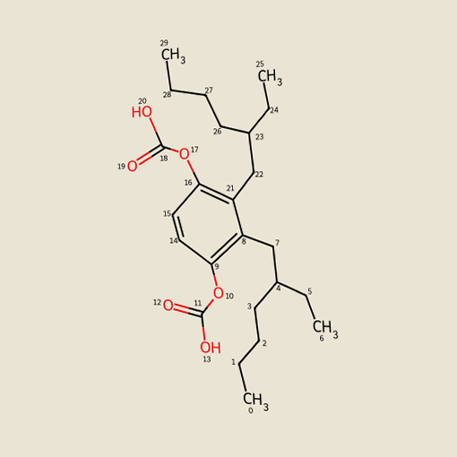 CCCCC(CC)Cc1c(OC(=O)O)ccc(OC(=O)O)c1CC(CC)CCCC